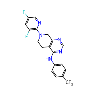 Fc1cnc(N2CCc3c(ncnc3Nc3ccc(C(F)(F)F)cc3)C2)c(F)c1